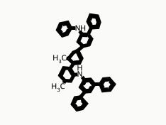 CC1C=CC(C2=CC=C(C3C=CC(c4ccccc4)=C(Nc4ccccc4)C3)CC2C)=C(Nc2cc(-c3ccccc3)cc(-c3ccccc3)c2)C1